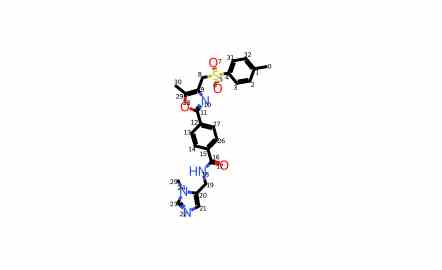 Cc1ccc(S(=O)(=O)Cc2nc(-c3ccc(C(=O)NCc4cncn4C)cc3)oc2C)cc1